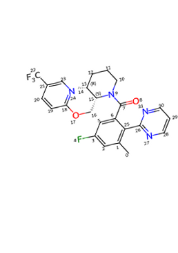 Cc1cc(F)cc(C(=O)N2CCC[C@@H](C)[C@H]2COc2ccc(C(F)(F)F)cn2)c1-c1ncccn1